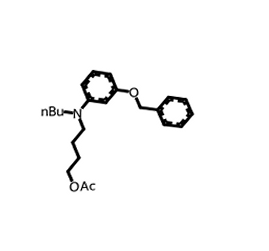 CCCCN(CCCCOC(C)=O)c1cccc(OCc2ccccc2)c1